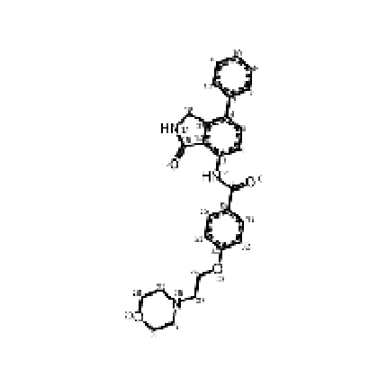 O=C(Nc1ccc(-c2ccccc2)c2c1C(=O)NC2)c1ccc(OCCN2CCOCC2)cc1